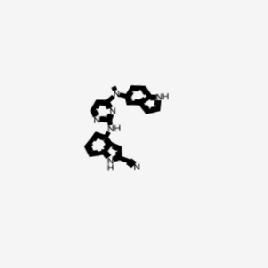 CN(c1ccc2[nH]ccc2c1)c1ccnc(Nc2cccc3[nH]c(C#N)cc23)n1